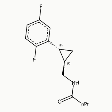 CCCC(=O)NC[C@@H]1C[C@H]1c1cc(F)ccc1F